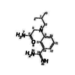 CC(C)CN(CC(N)=O)c1cccc(C(=N)N)c1